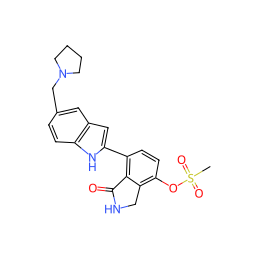 CS(=O)(=O)Oc1ccc(-c2cc3cc(CN4CCCC4)ccc3[nH]2)c2c1CNC2=O